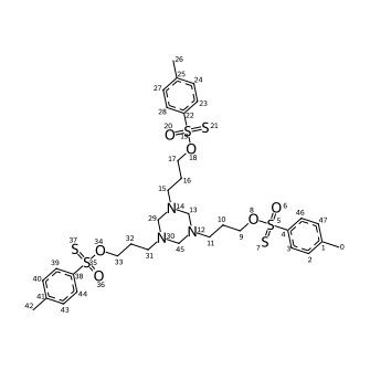 Cc1ccc(S(=O)(=S)OCCCN2CN(CCCOS(=O)(=S)c3ccc(C)cc3)CN(CCCOS(=O)(=S)c3ccc(C)cc3)C2)cc1